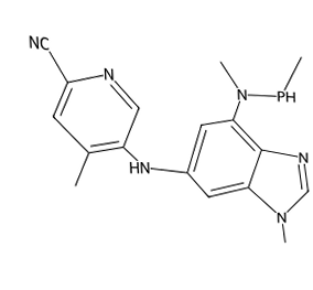 CPN(C)c1cc(Nc2cnc(C#N)cc2C)cc2c1ncn2C